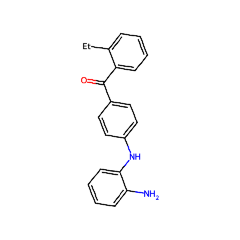 CCc1ccccc1C(=O)c1ccc(Nc2ccccc2N)cc1